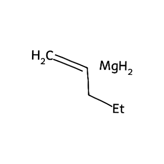 [CH2]CCC=C.[MgH2]